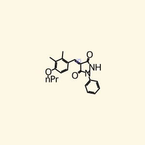 CCCOc1ccc(/C=C2/C(=O)NN(c3ccccc3)C2=O)c(C)c1C